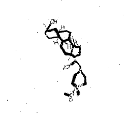 C[S+]([O-])[N+]1(C)CCN(CC(=O)[C@H]2CC[C@H]3[C@@H]4CC[C@@H]5C[C@](C)(O)CC[C@@H]5[C@H]4CC[C@]23C)CC1